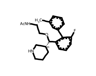 CC(=O)NCCOC(c1cccc(F)c1-c1cccc(C)c1)[C@@H]1CCCNC1